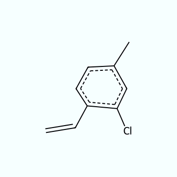 C=Cc1ccc(C)cc1Cl